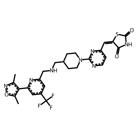 Cc1noc(C)c1-c1cc(C(F)(F)F)cc(CNCC2CCN(c3nccc(C=C4SC(=O)NC4=O)n3)CC2)n1